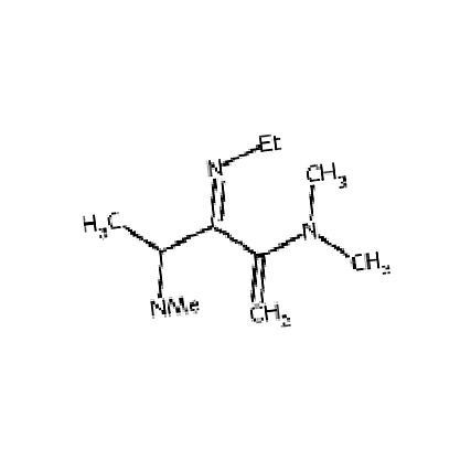 C=C(/C(=N\CC)C(C)NC)N(C)C